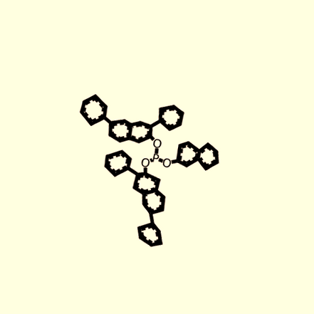 c1ccc(-c2ccc3cc(OP(Oc4ccc5ccccc5c4)Oc4cc5ccc(-c6ccccc6)cc5cc4-c4ccccc4)c(-c4ccccc4)cc3c2)cc1